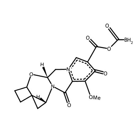 BC(=O)OC(=O)c1cn2c(c(OC)c1=O)C(=O)N1[C@@H](C2)OC2CCC23C[C@@H]13